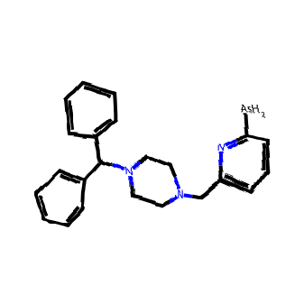 [AsH2]c1cccc(CN2CCN(C(c3ccccc3)c3ccccc3)CC2)n1